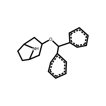 c1ccc(C(OC2CC3CCC(C2)N3)c2ccccc2)cc1